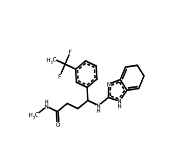 CNC(=O)CCC(Nc1nc2c([nH]1)=CCCC=2)c1cccc(C(C)(F)F)c1